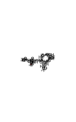 CC(C)(C)OC(=O)NCCC[C@@H]1NC(=O)[C@@H](NC(=O)OC(C)(C)C)Cc2cc(ccc2O)-c2cccc(c2)C[C@@H](C(=O)NCCCC[C@H](NC(=O)OC(C)(C)C)C(=O)NCC(O)CNC(=O)OC(C)(C)C)NC1=O